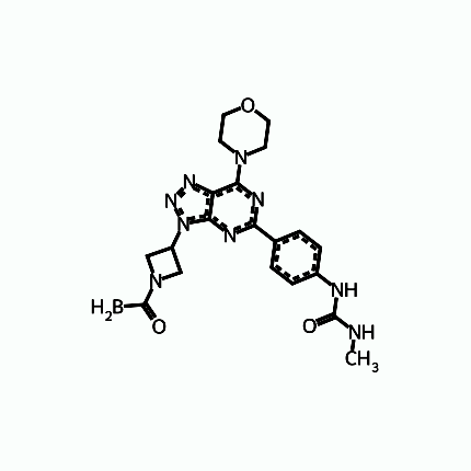 BC(=O)N1CC(n2nnc3c(N4CCOCC4)nc(-c4ccc(NC(=O)NC)cc4)nc32)C1